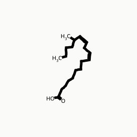 CCCCC(C)/C=C\C/C=C\CCCCCCCC(=O)O